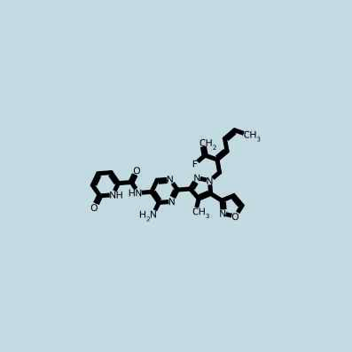 C=C(F)/C(=C\C=C/C)Cn1nc(-c2ncc(NC(=O)c3cccc(=O)[nH]3)c(N)n2)c(C)c1-c1ccon1